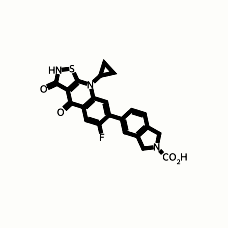 O=C(O)N1Cc2ccc(-c3cc4c(cc3F)c(=O)c3c(=O)[nH]sc3n4C3CC3)cc2C1